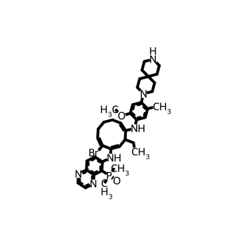 CCC1/C=C(Nc2ccc3nccnc3c2P(C)(C)=O)\C(Br)=C/CCC/C=C\1Nc1cc(C)c(N2CCC3(CCNCC3)CC2)cc1OC